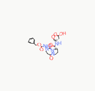 O=C[C@H](CC(=O)O)NC(=O)[C@@H]1CCCN2C(=O)CCN(NC(=O)OCc3ccccc3)C(=O)N12